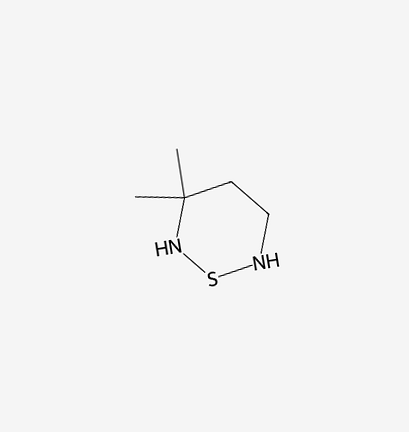 CC1(C)CCNSN1